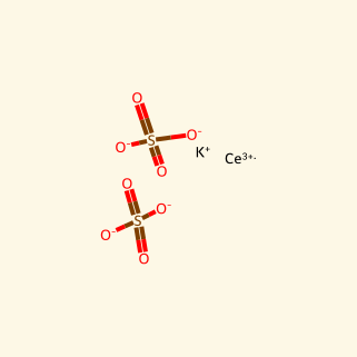 O=S(=O)([O-])[O-].O=S(=O)([O-])[O-].[Ce+3].[K+]